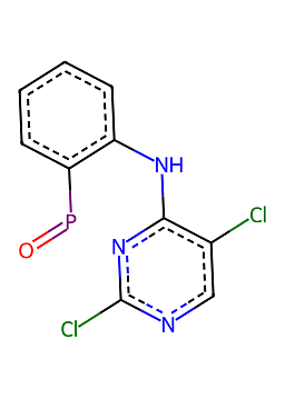 O=Pc1ccccc1Nc1nc(Cl)ncc1Cl